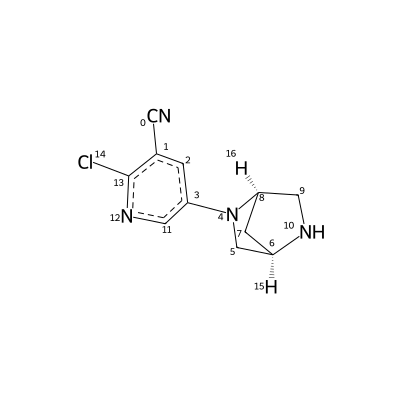 N#Cc1cc(N2C[C@H]3C[C@@H]2CN3)cnc1Cl